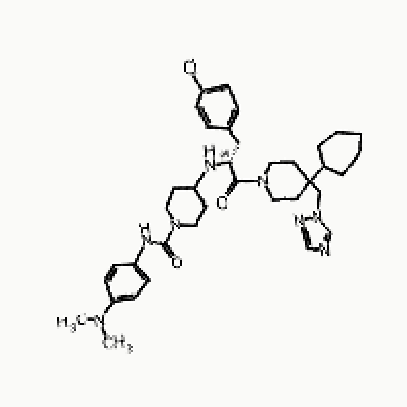 CN(C)c1ccc(NC(=O)N2CCC(N[C@H](Cc3ccc(Cl)cc3)C(=O)N3CCC(Cn4cncn4)(C4CCCCC4)CC3)CC2)cc1